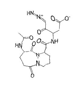 CC(=O)NC1CCC(=O)N2CCCC(C(=O)NC(CC(=O)[O-])C(=O)C=[N+]=N)N2C1=O